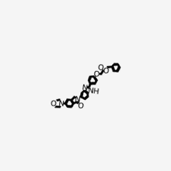 O=C(COc1ccc(-c2nc3cc(N4Cc5cc(N6CCOCC6)ccc5C4=O)ccc3[nH]2)cc1)OCc1ccccc1